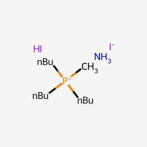 CCCC[P+](C)(CCCC)CCCC.I.N.[I-]